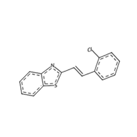 Clc1ccccc1C=Cc1nc2ccccc2s1